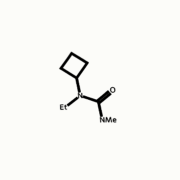 CCN(C(=O)NC)C1CCC1